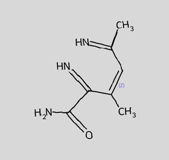 CC(=N)/C=C(/C)C(=N)C(N)=O